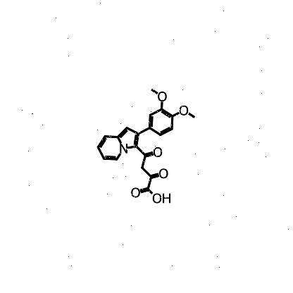 COc1ccc(-c2cc3ccccn3c2C(=O)CC(=O)C(=O)O)cc1OC